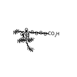 [N-]=[N+]=NCCCC[C@H](NN=[N+]=[N-])C(=O)N[C@@H](CN=[N+]=[N-])C(=O)N[C@@H](CCCCN=[N+]=[N-])C(=O)NCCOCCOCCOCCOCCC(=O)O